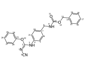 N#C/N=C(\Nc1ccc(CNC(=O)OCc2ccccc2)cc1)Oc1ccccc1